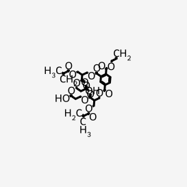 C=CCOC(=O)c1ccc(C(=O)OCC(COC(=O)C(=C)C)C(=O)OCCC(=O)O)cc1C(=O)OCC(COC(=O)C(=C)C)C(=O)OCCC(=O)O